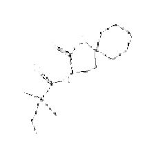 CCC(C)(C)C(=O)OC1CC2(CCCCC2)OC1=O